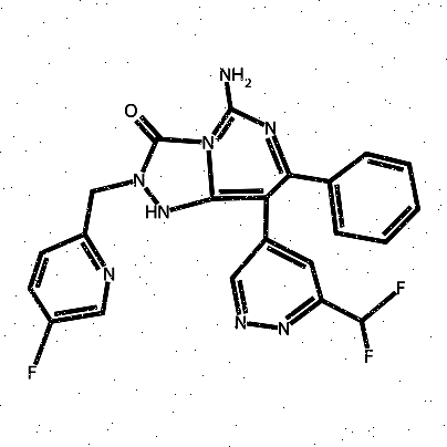 Nc1nc(-c2ccccc2)c(-c2cnnc(C(F)F)c2)c2[nH]n(Cc3ccc(F)cn3)c(=O)[n+]12